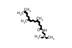 CCN(CC)CCNC(=O)CCC=C(C)CCC=C(C)CCC=C(C)C